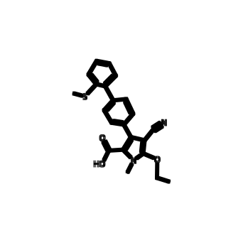 CCOc1c(C#N)c(-c2ccc(-c3ccccc3SC)cc2)c(C(=O)O)n1C